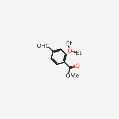 CCOCC.COC(=O)c1ccc(C=O)cc1